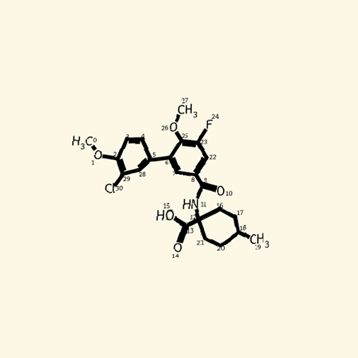 COc1ccc(-c2cc(C(=O)NC3(C(=O)O)CCC(C)CC3)cc(F)c2OC)cc1Cl